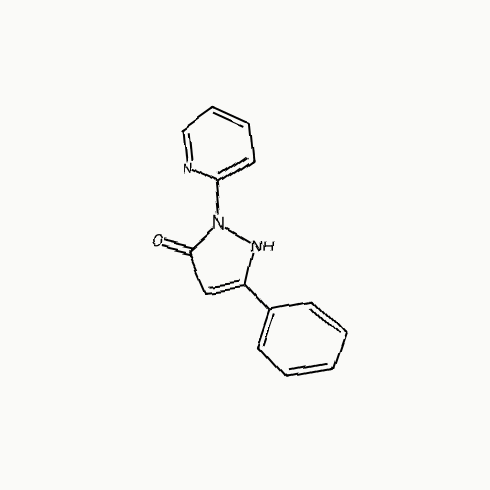 O=c1cc(-c2ccccc2)[nH]n1-c1ccccn1